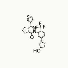 O=c1c2c(c(-c3ccsc3)nn1-c1cc(N3CC[C@H](O)C3)ccc1C(F)(F)F)CCC2